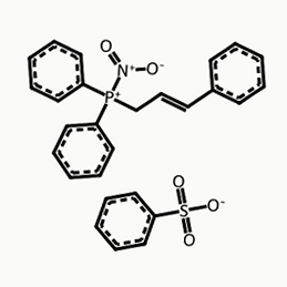 O=S(=O)([O-])c1ccccc1.O=[N+]([O-])[P+](CC=Cc1ccccc1)(c1ccccc1)c1ccccc1